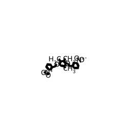 Cc1cc(OCc2cccc([N+](=O)[O-])c2)c(C)c(C)c1OCc1cccc([N+](=O)[O-])c1